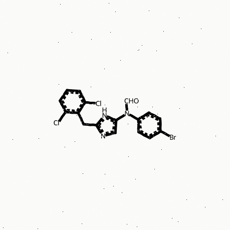 O=CN(c1ccc(Br)cc1)c1cnc(Cc2c(Cl)cccc2Cl)[nH]1